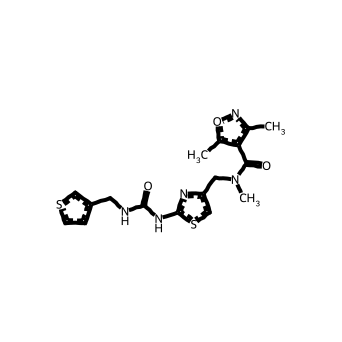 Cc1noc(C)c1C(=O)N(C)Cc1csc(NC(=O)NCc2ccsc2)n1